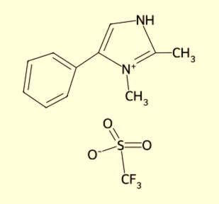 Cc1[nH]cc(-c2ccccc2)[n+]1C.O=S(=O)([O-])C(F)(F)F